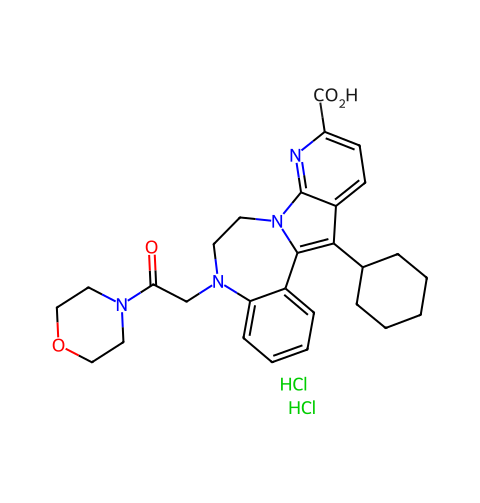 Cl.Cl.O=C(O)c1ccc2c(C3CCCCC3)c3n(c2n1)CCN(CC(=O)N1CCOCC1)c1ccccc1-3